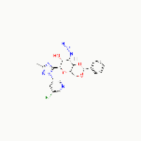 Cc1nc([C@@H]2OC3COC(c4ccccc4)O[C@@H]3C(N=[N+]=[N-])C2O)n(-c2cncc(Br)c2)n1